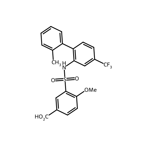 COc1ccc(C(=O)O)cc1S(=O)(=O)Nc1cc(C(F)(F)F)ccc1-c1ccccc1C